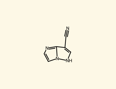 N#Cc1c[nH]n2ccnc12